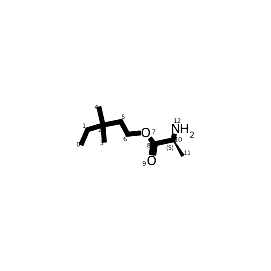 CCC(C)(C)CCOC(=O)[C@H](C)N